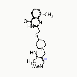 CN/C=C(/CN1CCC(SCc2nc3c(C)cccc3c(=O)[nH]2)CC1)C(C)=N